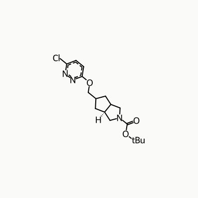 CC(C)(C)OC(=O)N1CC2CC(COc3ccc(Cl)nn3)C[C@@H]2C1